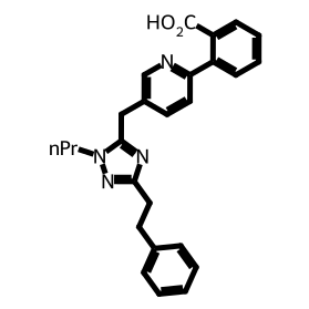 CCCn1nc(CCc2ccccc2)nc1Cc1ccc(-c2ccccc2C(=O)O)nc1